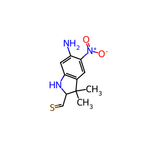 CC1(C)c2cc([N+](=O)[O-])c(N)cc2NC1C=S